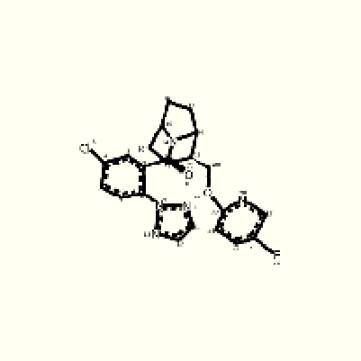 O=C(c1cc(Cl)ccc1-n1nccn1)N1C2CCC1[C@@H](COc1ccc(F)cn1)CC2